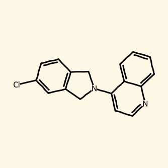 Clc1ccc2c(c1)CN(c1ccnc3ccccc13)C2